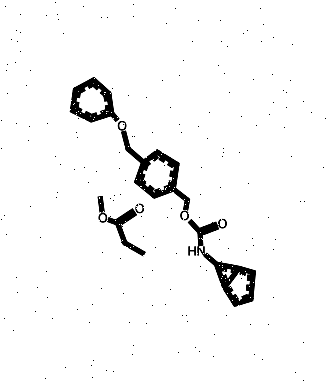 CCC(=O)OC.O=C(Nc1c2cccc1-2)OCc1ccc(COc2ccccc2)cc1